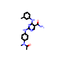 CC(=O)N(C)c1ccc(Nc2ncc(C(N)=O)c(Nc3cccc(C)c3)n2)cc1